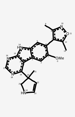 COc1cc2c(cc1-c1c(C)noc1C)[nH]c1ncnc(C3(C)C=CNC3)c12